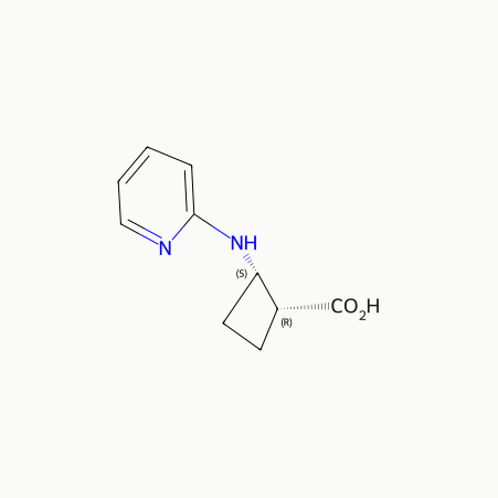 O=C(O)[C@@H]1CC[C@@H]1Nc1ccccn1